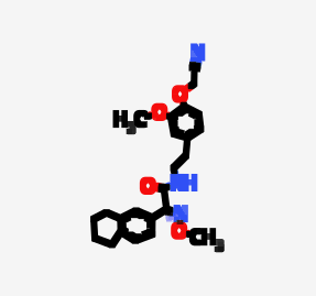 CO/N=C(/C(=O)NCCc1ccc(OCC#N)c(OC)c1)c1ccc2c(c1)CCCC2